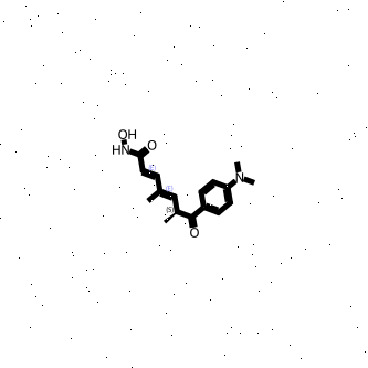 CC(/C=C/C(=O)NO)=C\[C@H](C)C(=O)c1ccc(N(C)C)cc1